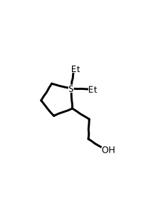 CCS1(CC)CCCC1CCO